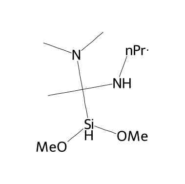 CC[CH]NC(C)(N(C)C)[SiH](OC)OC